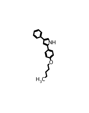 CCCCCOc1ccc(-c2cc(-c3ccccc3)c[nH]2)cc1